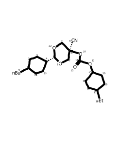 CCCCC1CCC([C@H]2OC[C@](C#N)(OC(=O)OC3CCC(CC)CC3)CO2)CC1